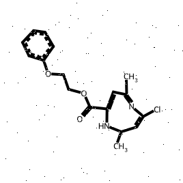 CC1=N\C(Cl)=C/C(C)N/C(C(=O)OCCOc2ccccc2)=C\1